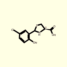 O=C(O)[C@@H]1CSC(c2cc(Cl)ccc2O)N1